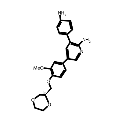 COc1cc(-c2cnc(N)c(-c3ccc(N)cc3)c2)ccc1OC[C@@H]1COCCO1